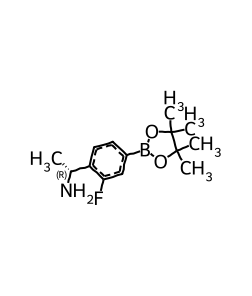 C[C@@H](N)c1ccc(B2OC(C)(C)C(C)(C)O2)cc1F